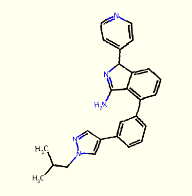 CC(C)Cn1cc(-c2cccc(-c3cccc4c3C(N)=NC4c3ccncc3)c2)cn1